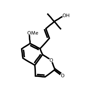 COc1ccc2ccc(=O)oc2c1/C=C/C(C)(C)O